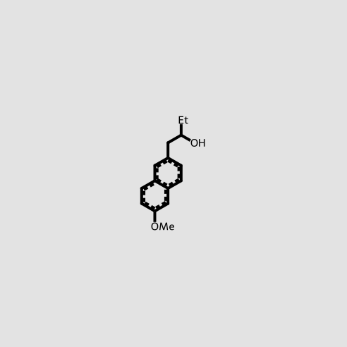 CCC(O)Cc1ccc2cc(OC)ccc2c1